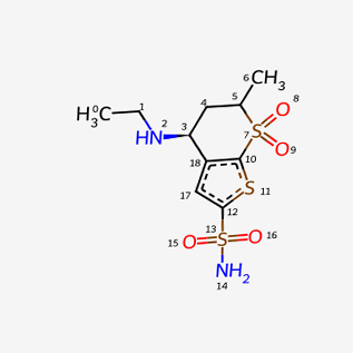 CCN[C@H]1CC(C)S(=O)(=O)c2sc(S(N)(=O)=O)cc21